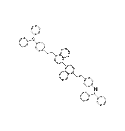 C(=Cc1ccc(-c2ccc(CCc3ccc(N(c4ccccc4)c4ccccc4)cc3)c3ccccc23)c2ccccc12)c1ccc(NC(c2ccccc2)c2ccccc2)cc1